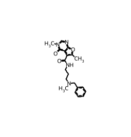 Cc1oc2ncn(C)c(=O)c2c1C(=O)NCCCN(C)Cc1ccccc1